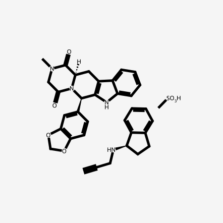 C#CCN[C@@H]1CCc2ccccc21.CN1CC(=O)N2[C@H](c3ccc4c(c3)OCO4)c3[nH]c4ccccc4c3C[C@@H]2C1=O.CS(=O)(=O)O